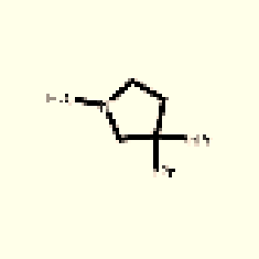 CCCC1(CCC)CCN(C)C1